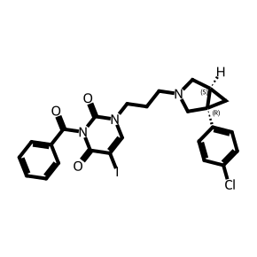 O=C(c1ccccc1)n1c(=O)c(I)cn(CCCN2C[C@H]3C[C@@]3(c3ccc(Cl)cc3)C2)c1=O